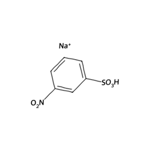 O=[N+]([O-])c1cccc(S(=O)(=O)O)c1.[Na+]